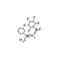 CN(C)c1ccccc1.FB(F)c1c(F)c(F)c(F)c(F)c1F